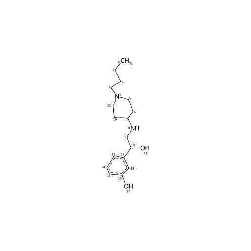 CCCCN1CCC(NCC(O)c2cccc(O)c2)CC1